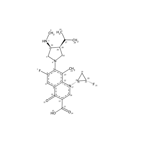 CN[C@@H]1CN(c2c(F)cc3c(=O)c(C(=O)O)cn([C@@H]4C[C@@H]4F)c3c2C)C[C@@H]1C(C)C